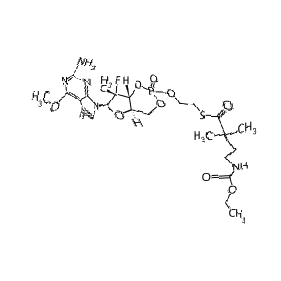 CCOC(=O)NCCC(C)(C)C(=O)SCCOP1(=O)OC[C@H]2O[C@@H](n3cnc4c(OC)nc(N)nc43)[C@](C)(F)[C@@H]2O1